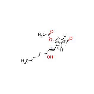 CCCCCC(O)/C=C/[C@@H]1[C@H]2CC(=O)[C@H]2C[C@H]1OC(C)=O